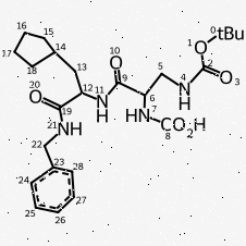 CC(C)(C)OC(=O)NCC(NC(=O)O)C(=O)NC(CC1CCCC1)C(=O)NCc1ccccc1